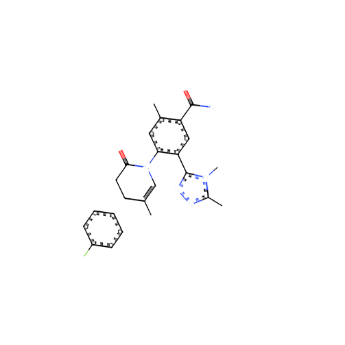 CCn1c(C)nnc1-c1cc(C(N)=O)c(C)cc1N1C=C(C(=O)O)[C@H](c2ccc(F)cc2)CC1=O